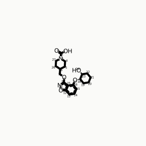 O=C(O)N1CCC(COc2noc3cccc(O[C@H]4CCCC[C@@H]4O)c23)CC1